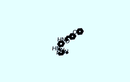 CN(C)c1ccnc(N[C@H]2CC[C@@H](NC(=O)Cc3cccc(Oc4ccccc4)c3)CC2)n1